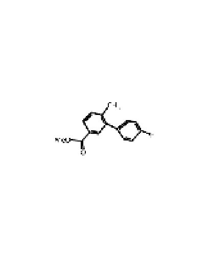 COC(=O)c1ccc(C)c(-c2ccc(F)cc2)c1